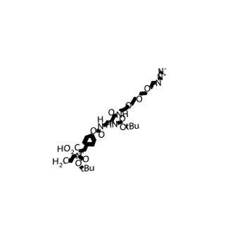 C=CCN(C(=O)OC(C)(C)C)[C@@H](Cc1ccc(OC(=O)NCC[C@H](NC(=O)OC(C)(C)C)C(=O)NCCOCCOCCOCCN=[N+]=[N-])cc1)C(=O)O